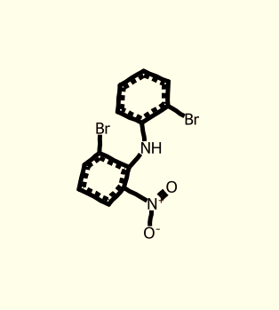 O=[N+]([O-])c1cccc(Br)c1Nc1ccccc1Br